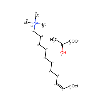 CC(O)C(=O)[O-].CCCCCCCC/C=C\CCCCCCCC[N+](CC)(CC)CC